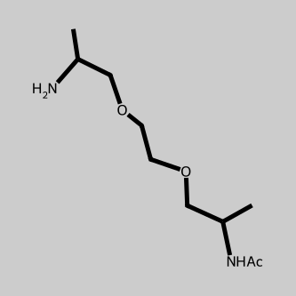 CC(=O)NC(C)COCCOCC(C)N